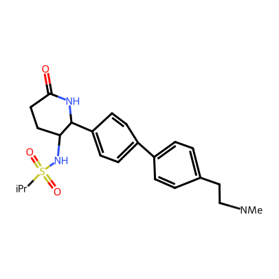 CNCCc1ccc(-c2ccc(C3NC(=O)CCC3NS(=O)(=O)C(C)C)cc2)cc1